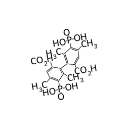 Cc1cc(C(=O)O)c(-c2c(C(=O)O)cc(C)c(P(=O)(O)O)c2C)c(C)c1P(=O)(O)O